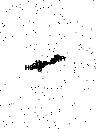 Cc1nc(OCCCC2CCN(c3noc(C(C)C)n3)CC2)ccc1C(=O)NC[C@H](O)CO